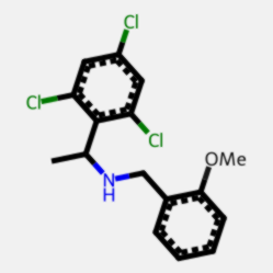 COc1ccccc1CNC(C)c1c(Cl)cc(Cl)cc1Cl